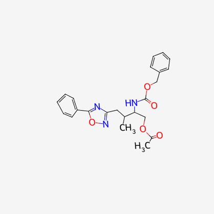 CC(=O)OCC(NC(=O)OCc1ccccc1)C(C)Cc1noc(-c2ccccc2)n1